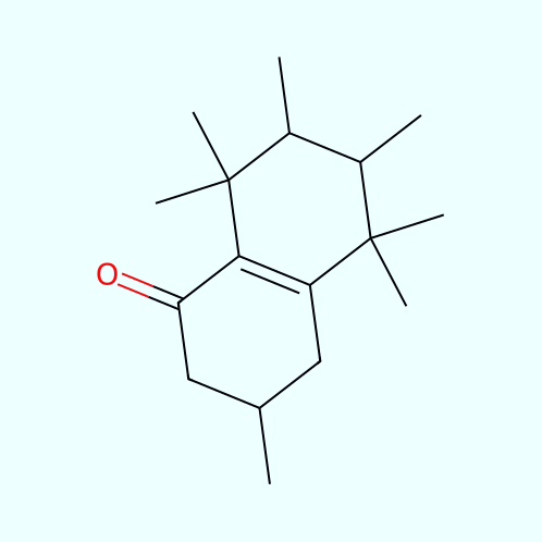 CC1CC(=O)C2=C(C1)C(C)(C)C(C)C(C)C2(C)C